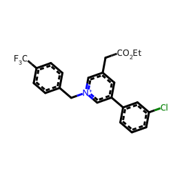 CCOC(=O)Cc1cc(-c2cccc(Cl)c2)c[n+](Cc2ccc(C(F)(F)F)cc2)c1